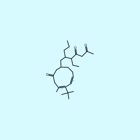 CCCC(CC1CC/C=C\C(C(C)(C)C)=C(\C)CC(=O)C1)C(CC)C(=O)CC(C)=O